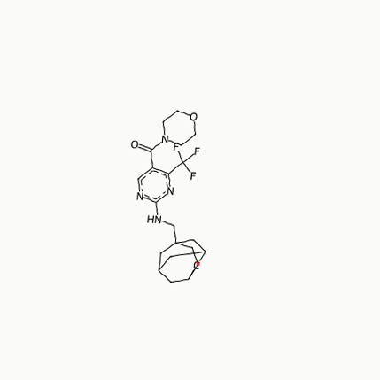 O=C(c1cnc(NCC23CCC4CC(CC(C4)C2)C3)nc1C(F)(F)F)N1CCOCC1